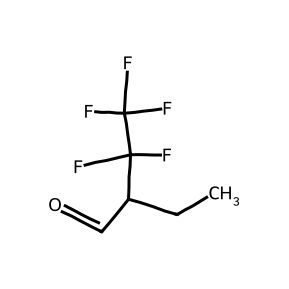 CCC(C=O)C(F)(F)C(F)(F)F